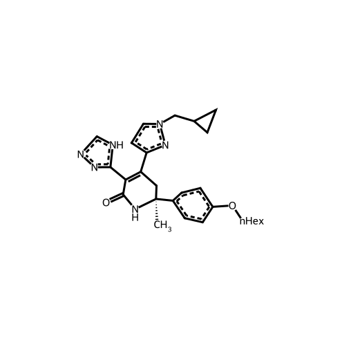 CCCCCCOc1ccc([C@]2(C)CC(c3ccn(CC4CC4)n3)=C(c3nnc[nH]3)C(=O)N2)cc1